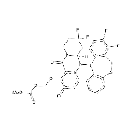 COC(=O)OCOc1c2n(ccc1=O)N([C@@H]1c3ccccc3SCc3c1ccc(F)c3F)[C@@H]1CC(F)(F)CCN1C2=O